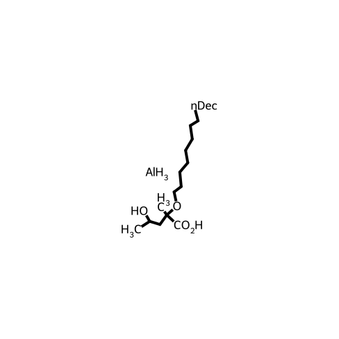 CCCCCCCCCCCCCCCCCCOC(C)(CC(C)O)C(=O)O.[AlH3]